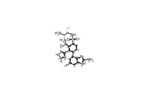 C[C@@H](CN)NS(=O)(=O)c1ccc(-c2cc(F)cc3[nH]c(N)nc23)c(-c2nn[nH]n2)c1[S+](N)[O-]